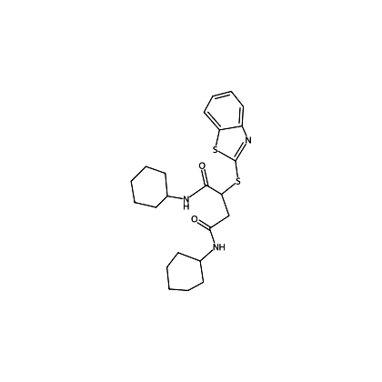 O=C(CC(Sc1nc2ccccc2s1)C(=O)NC1CCCCC1)NC1CCCCC1